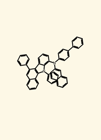 c1ccc(-c2ccc(N(c3ccc4ccccc4c3)c3cccc4c5c(-c6ccccc6)cc6ccccc6c5n(-c5ccccc5)c34)cc2)cc1